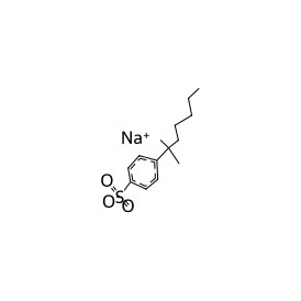 CCCCCC(C)(C)c1ccc(S(=O)(=O)[O-])cc1.[Na+]